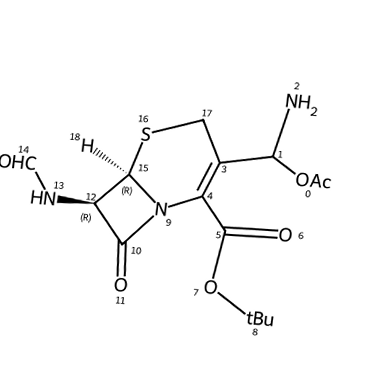 CC(=O)OC(N)C1=C(C(=O)OC(C)(C)C)N2C(=O)[C@@H](NC=O)[C@H]2SC1